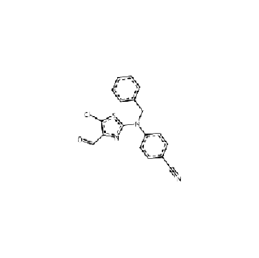 N#Cc1ccc(N(Cc2ccccc2)c2nc(C=O)c(Cl)s2)cc1